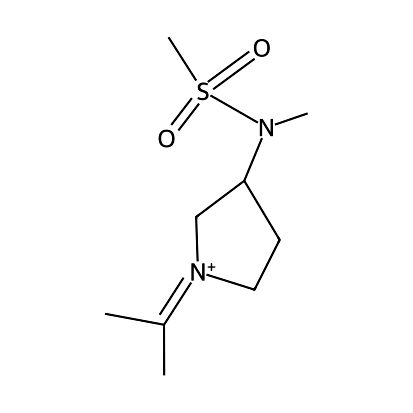 CC(C)=[N+]1CCC(N(C)S(C)(=O)=O)C1